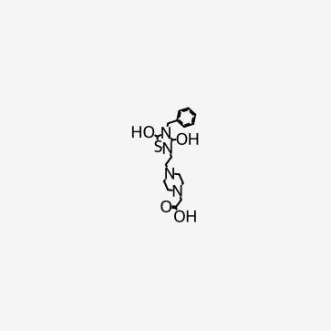 O=C(O)CN1CCN(CCN2SC(O)N(Cc3ccccc3)C2O)CC1